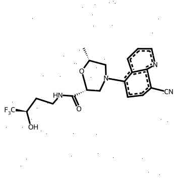 C[C@@H]1CN(c2ccc(C#N)c3ncccc23)C[C@H](C(=O)NCC[C@@H](O)C(F)(F)F)O1